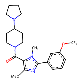 COc1nc(-c2cccc(OC(F)(F)F)c2)n(C)c1C(=O)N1CCC(N2CCCC2)CC1